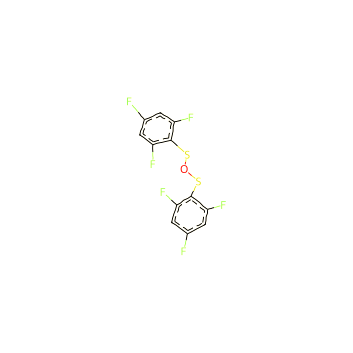 Fc1cc(F)c(SOSc2c(F)cc(F)cc2F)c(F)c1